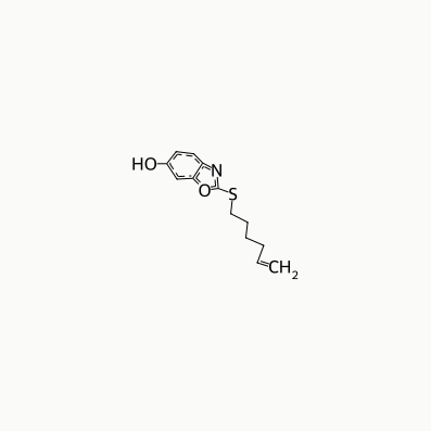 C=CCCCCSc1nc2ccc(O)cc2o1